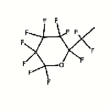 CC(F)(F)C1(F)OC(F)(F)C(F)(F)C(F)(F)C1(F)F